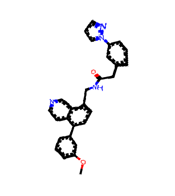 COc1cccc(-c2ccc(CNC(=O)Cc3cccc(-n4cccn4)c3)c3cnccc23)c1